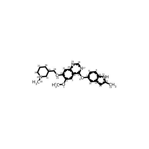 COc1cc2c(Oc3ccc4[nH]c(C)cc4c3)ncnc2cc1OCC1CCCN(C)C1